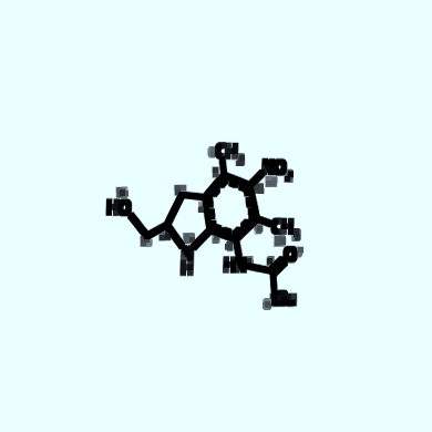 Cc1c2c(c(NC(=O)C(C)(C)C)c(C)c1[N+](=O)[O-])NC(CO)C2